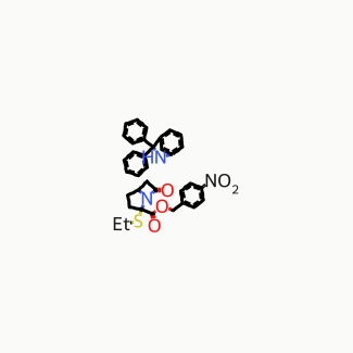 CCSC1(C(=O)OCc2ccc([N+](=O)[O-])cc2)CCC2CC(=O)N21.c1ccc(C2(c3ccccc3)Nc3cccc2c3)cc1